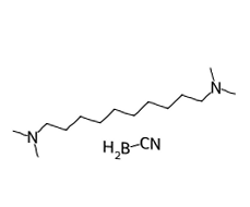 BC#N.CN(C)CCCCCCCCCCN(C)C